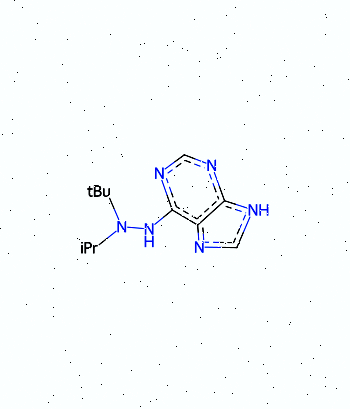 CC(C)N(Nc1ncnc2[nH]cnc12)C(C)(C)C